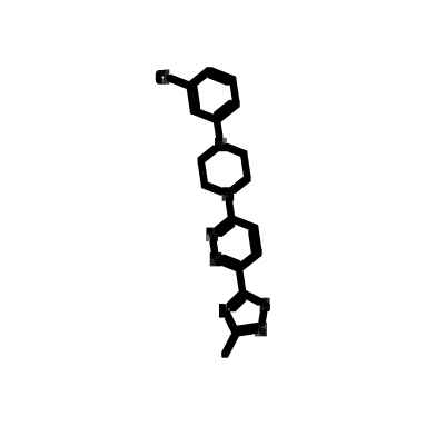 Cc1nsc(-c2ccc(N3CCN(c4cccc(Cl)c4)CC3)nn2)n1